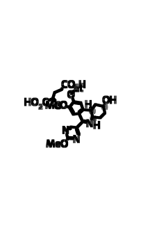 CCOc1cc2c(cc1OC)C(c1cnc(OC)nc1)=N[C@@H]1CC[C@@H](O)C[C@H]21.O=C(O)CCC(=O)C(=O)O